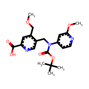 COCc1cc(C(=O)O)ncc1CN(C(=O)OC(C)(C)C)c1ccnc(OC)c1